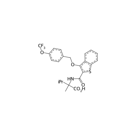 CC(C)C(C)(NC(=O)c1sc2ccccc2c1OCc1ccc(OC(F)(F)F)cc1)C(=O)O